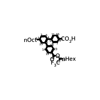 CCCCCCCCc1ccc(-c2ccc(C(=O)O)cc2)c(-c2ccc(C(=O)OC(CCCCCC)C(F)(F)F)cc2)c1